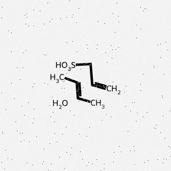 C=CCS(=O)(=O)O.CC=CC.O